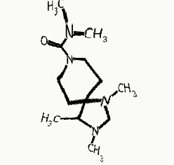 CC1N(C)CN(C)C12CCN(C(=O)N(C)C)CC2